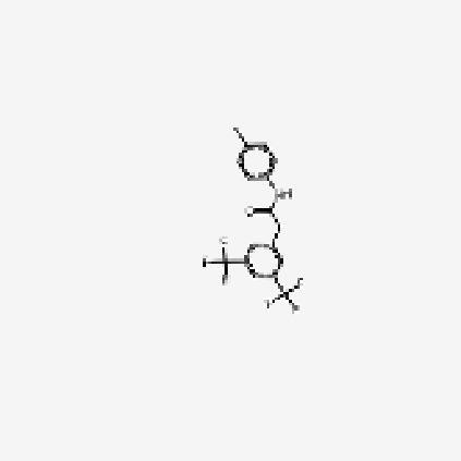 Cc1ccc(NC(=O)Cc2cc(C(F)(F)F)cc(C(F)(F)F)c2)cc1